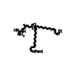 CC/C=C\C/C=C\CCCCCCCCC1(CCCCCCCC/C=C\C/C=C\CCCCC)OCC(CCN(C)CCNC(=N)N)O1